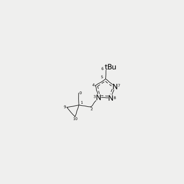 CC1(Cn2cc(C(C)(C)C)nn2)CC1